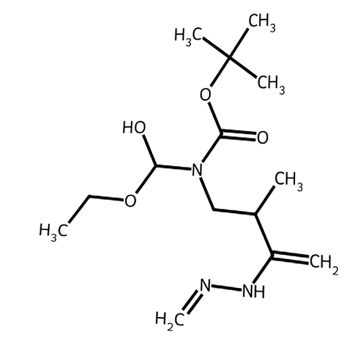 C=NNC(=C)C(C)CN(C(=O)OC(C)(C)C)C(O)OCC